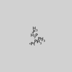 P.P.P.P.[Pt]